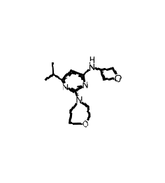 CC(C)c1cc(NC2COC2)nc(N2CCOCC2)n1